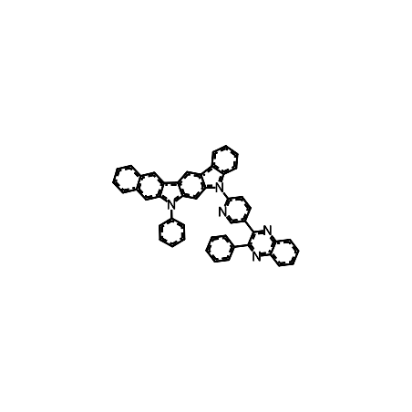 c1ccc(-c2nc3ccccc3nc2-c2ccc(-n3c4ccccc4c4cc5c6cc7ccccc7cc6n(-c6ccccc6)c5cc43)nc2)cc1